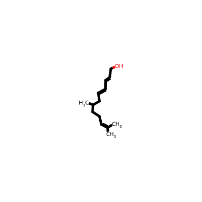 CC(C)=CCCC(C)CC=CC=CCO